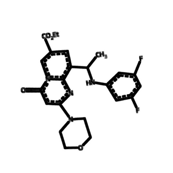 CCOC(=O)c1cc(C(C)Nc2cc(F)cc(F)c2)c2nc(N3CCOCC3)cc(=O)n2c1